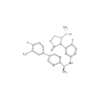 C[C@H](Nc1ncc(F)c(N2C(=O)OCC2[C@H](C)F)n1)c1ncc(-c2ccc(F)c(C(F)(F)F)c2)cn1